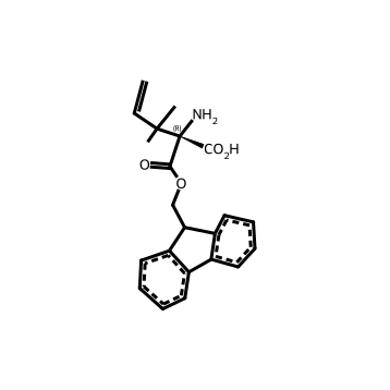 C=CC(C)(C)[C@@](N)(C(=O)O)C(=O)OCC1c2ccccc2-c2ccccc21